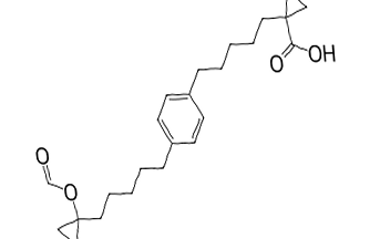 O=COC1(CCCCCc2ccc(CCCCCC3(C(=O)O)CC3)cc2)CC1